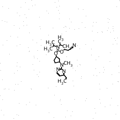 C=Cc1ccnc(N(C)C2CCC(OP(OCCC#N)N(C(C)C)C(C)C)C2)n1